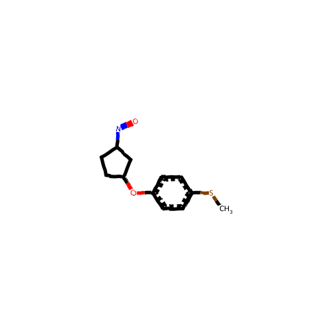 CSc1ccc(OC2CCC(N=O)C2)cc1